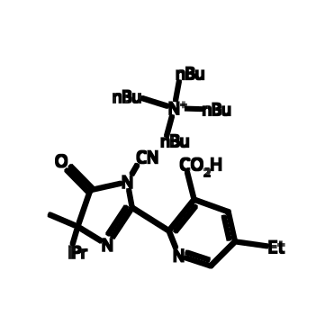 CCCC[N+](CCCC)(CCCC)CCCC.CCc1cnc(C2=NC(C)(C(C)C)C(=O)N2C#N)c(C(=O)O)c1